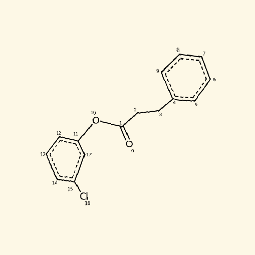 O=C(CCc1ccccc1)Oc1cccc(Cl)c1